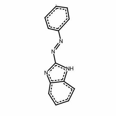 [c]1ccc(N=Nc2nc3ccccc3[nH]2)cc1